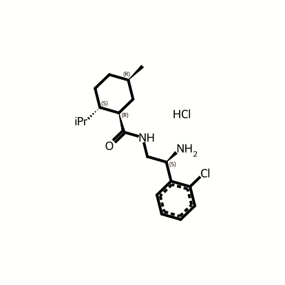 CC(C)[C@@H]1CC[C@@H](C)C[C@H]1C(=O)NC[C@@H](N)c1ccccc1Cl.Cl